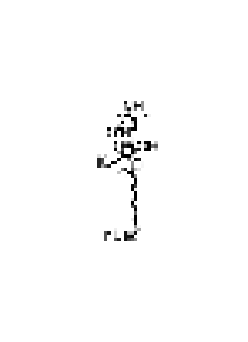 CCCCCCCCCCCCCCCCCC(=O)O[C@H]1[C@H](O)[C@H](n2ccc(N)nc2=O)O[C@@H]1CO